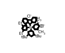 CCc1cc(CC)cc([Si](c2cc(C)cc(C)c2)(c2cc(C(C)(C)C)cc(C(C)(C)C)c2)C2c3ccccc3-c3ccc[c]([Ti+3])c32)c1.[Cl-].[Cl-].[Cl-]